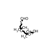 CC(C)(CCOC(C)(C)CCSCC=O)OCCO